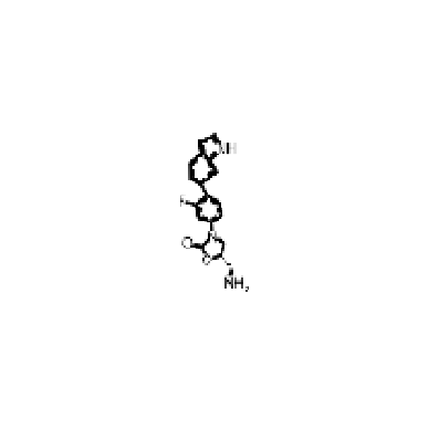 NC[C@H]1CN(c2ccc(-c3ccc4cc[nH]c4c3)c(F)c2)C(=O)O1